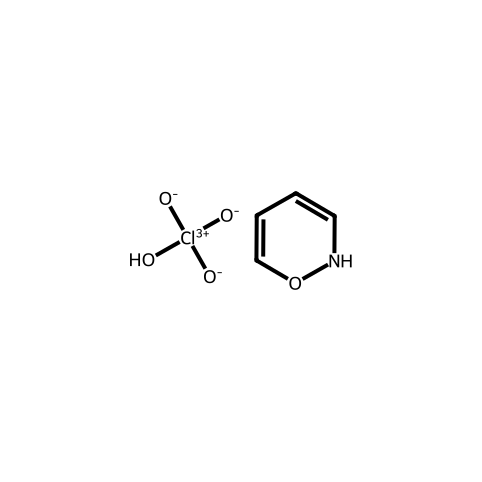 C1=CNOC=C1.[O-][Cl+3]([O-])([O-])O